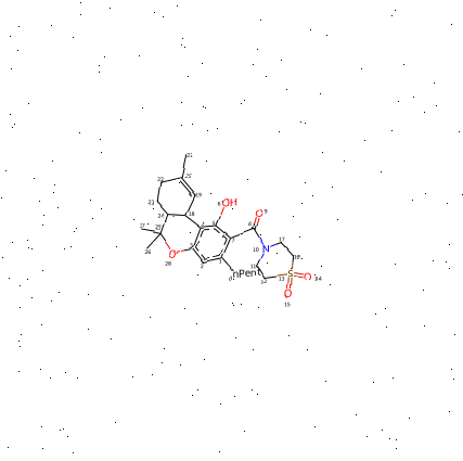 CCCCCc1cc2c(c(O)c1C(=O)N1CCS(=O)(=O)CC1)C1C=C(C)CCC1C(C)(C)O2